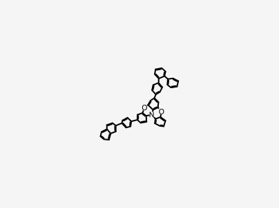 c1ccc(-c2ccccc2-c2ccc(-c3cc4c5c(c3)Oc3cc(-c6ccc(-c7ccc8ccccc8c7)cc6)ccc3N5c3ccccc3O4)cc2)cc1